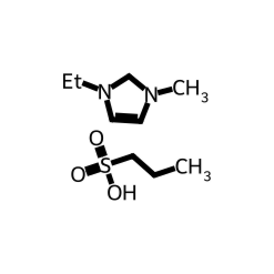 CCCS(=O)(=O)O.CCN1C=CN(C)C1